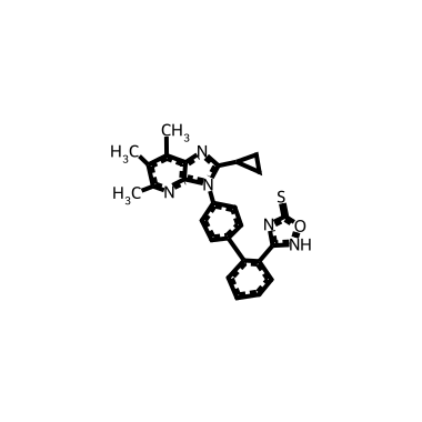 Cc1nc2c(nc(C3CC3)n2-c2ccc(-c3ccccc3-c3nc(=S)o[nH]3)cc2)c(C)c1C